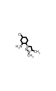 CC1CN(C2CCC(Cl)CC2N)N=[N+]1C